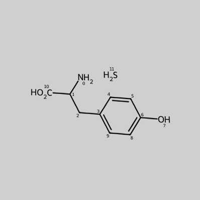 NC(Cc1ccc(O)cc1)C(=O)O.S